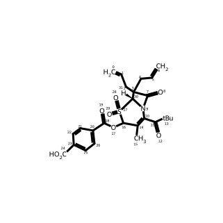 C=CCC1(CC=C)C(=O)N2C(C(=O)C(C)(C)C)=C(C)C(OC(=O)c3ccc(C(=O)O)cc3)S(=O)(=O)[C@@H]21